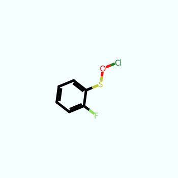 Fc1ccccc1SOCl